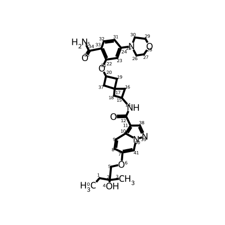 CCC(C)(O)COc1ccc2c(C(=O)NC3CC4(C3)CC(Oc3cc(N5CCOCC5)ccc3C(N)=O)C4)cnn2c1